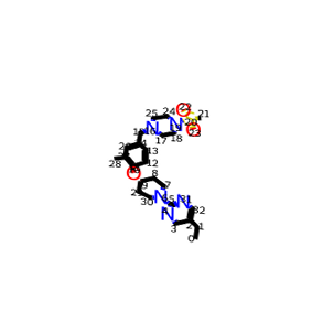 CCc1cnc(N2CCC(Oc3ccc(CN4CCN(S(C)(=O)=O)CC4)cc3C)CC2)nc1